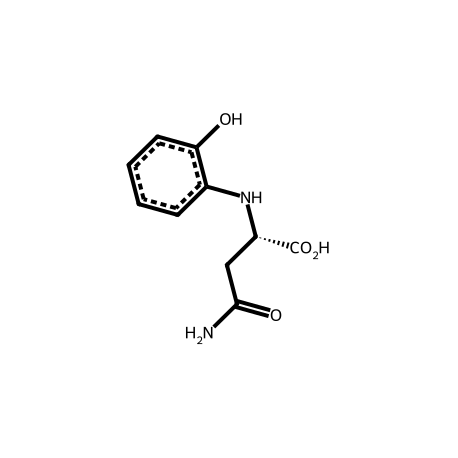 NC(=O)C[C@H](Nc1ccccc1O)C(=O)O